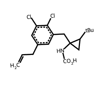 C=CCc1cc(Cl)c(Cl)c(CC2(NC(=O)O)CC2C(C)(C)C)c1